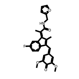 COC1=CC(=CC2=C(C)/C(=C(/C)C(=O)NCc3ccco3)c3cc(F)ccc32)C=C(OC)C1=O